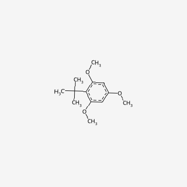 COc1cc(OC)c(C(C)(C)C)c(OC)c1